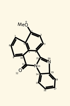 COc1ccc2c3c1cccc3c(=O)n1c3ccccc3nc21